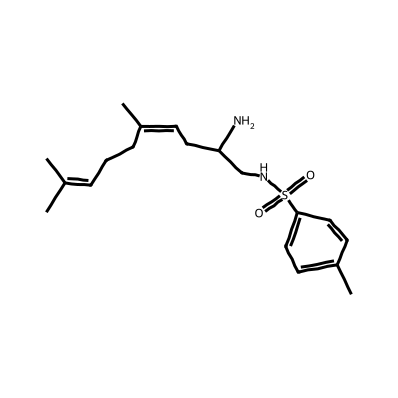 CC(C)=CCCC(C)=CCC(N)CNS(=O)(=O)c1ccc(C)cc1